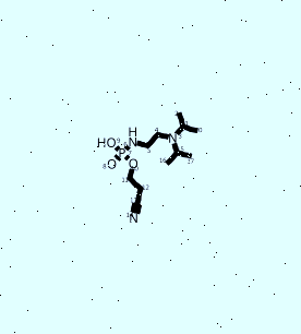 CC(C)N(CCNP(=O)(O)OCCC#N)C(C)C